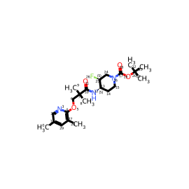 Cc1cnc(OCC(C)(C)C(=O)N[C@H]2CCN(C(=O)OC(C)(C)C)C[C@@H]2F)c(C)c1